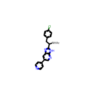 CC(=O)NC(Cc1ccc(Cl)cc1)c1nc2cc(-c3ccncc3)cnc2[nH]1